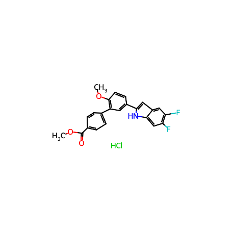 COC(=O)c1ccc(-c2cc(-c3cc4cc(F)c(F)cc4[nH]3)ccc2OC)cc1.Cl